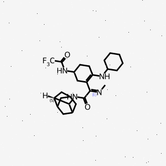 C/N=C(/C(=O)NC1C2CC3CC(C2)[C@@H]1C3)C1=C(NC2CCCCC2)CCC(NC(=O)C(F)(F)F)C1